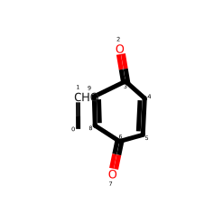 CC=O.O=C1C=CC(=O)C=C1